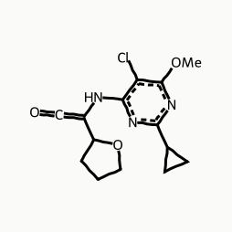 COc1nc(C2CC2)nc(NC(=C=O)C2CCCO2)c1Cl